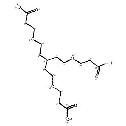 O=C(O)CCOCCN(CCOCCC(=O)O)CCOCCC(=O)O